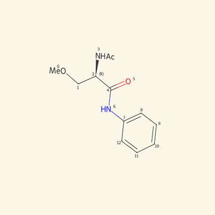 COC[C@@H](NC(C)=O)C(=O)Nc1ccccc1